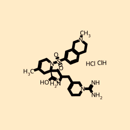 CC1=CCN(S(=O)(=O)c2ccc3c(c2)CN(C)CC3)[C@](C(=O)O)(C(=O)C(N)CC2=CCCN(C(=N)N)C2)C1.Cl.Cl